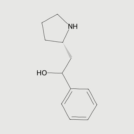 OC(C[C@@H]1CCCN1)c1ccccc1